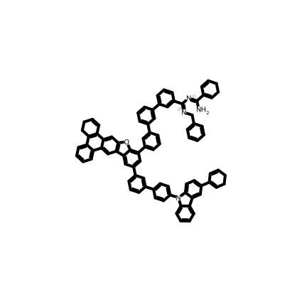 N/C(=N\C(=N/Cc1ccccc1)c1cccc(-c2cccc(-c3cccc(-c4cc(-c5cccc(-c6ccc(-n7c8ccccc8c8cc(C9=CCCC=C9)ccc87)cc6)c5)cc5c4oc4cc6c7c(c8ccccc8c6cc45)CCC=C7)c3)c2)c1)C1=CCCC=C1